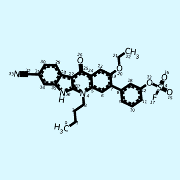 CCCCn1c2cc(-c3cccc(OS(=O)(=O)F)c3)c(OCC)cc2c(=O)c2c3ccc(C#N)cc3[nH]c21